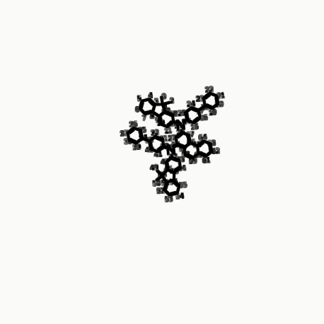 CC1(C)c2ccccc2-c2ccc(N(c3ccc(-c4ccccc4)cc3)c3cc(N(c4ccc(-c5ccccc5)cc4)c4ccc5c(c4)C(C)(C)c4ccccc4-5)c4ccc5ccccc5c4c3)cc21